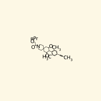 CC#Cc1cc(C)c(C2C(=O)CC3(CCN(C(=O)COCCC)CC3)CC2=O)c(C)c1